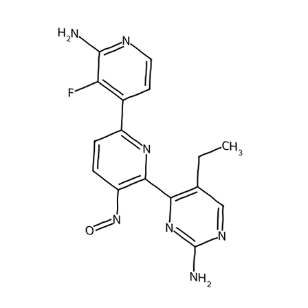 CCc1cnc(N)nc1-c1nc(-c2ccnc(N)c2F)ccc1N=O